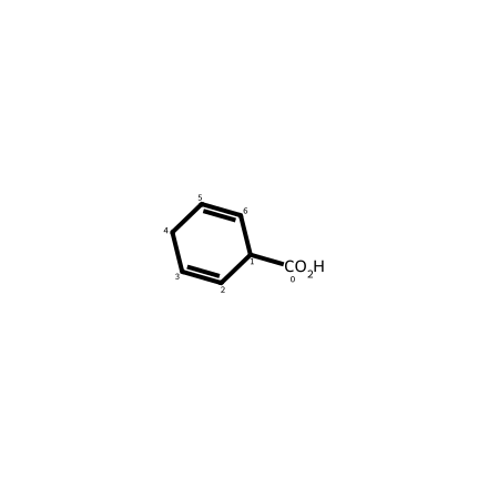 O=C(O)C1C=CCC=C1